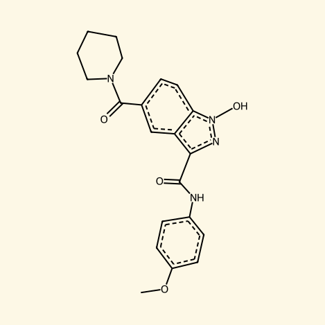 COc1ccc(NC(=O)c2nn(O)c3ccc(C(=O)N4CCCCC4)cc23)cc1